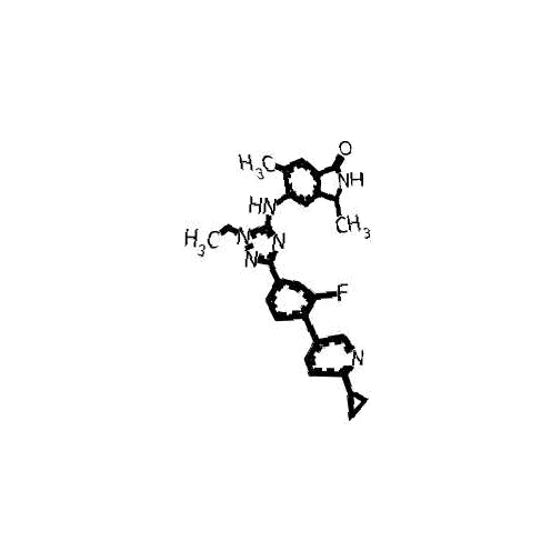 CCn1nc(-c2ccc(-c3ccc(C4CC4)nc3)c(F)c2)nc1Nc1cc2c(cc1C)C(=O)NC2C